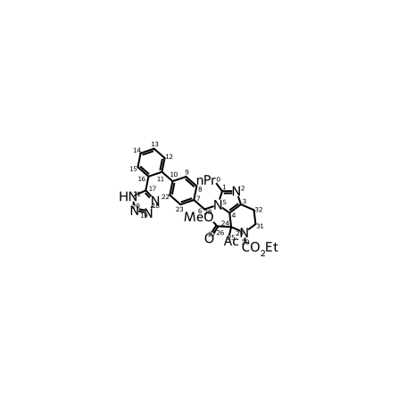 CCCc1nc2c(n1Cc1ccc(-c3ccccc3-c3nnn[nH]3)cc1)C(C(C)=O)(C(=O)OC)N(C(=O)OCC)CC2